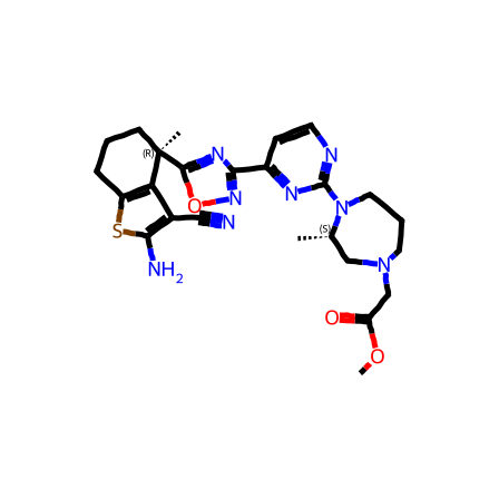 COC(=O)CN1CCCN(c2nccc(-c3noc([C@]4(C)CCCc5sc(N)c(C#N)c54)n3)n2)[C@@H](C)C1